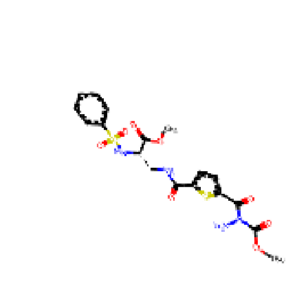 CC(C)(C)OC(=O)[C@H](CNC(=O)c1ccc(C(=O)N(N)C(=O)OC(C)(C)C)s1)NS(=O)(=O)c1ccccc1